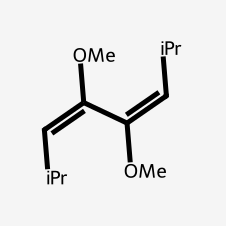 COC(=C/C(C)C)/C(=C\C(C)C)OC